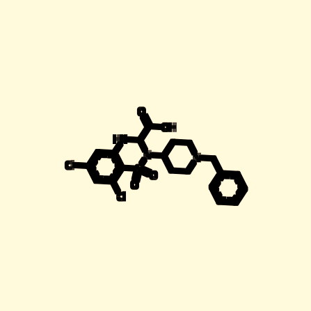 O=C(O)C1Nc2cc(Cl)cc(Cl)c2S(=O)(=O)N1C1CCN(Cc2ccccc2)CC1